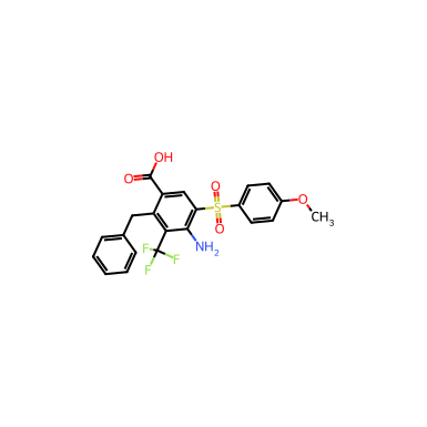 COc1ccc(S(=O)(=O)c2cc(C(=O)O)c(Cc3ccccc3)c(C(F)(F)F)c2N)cc1